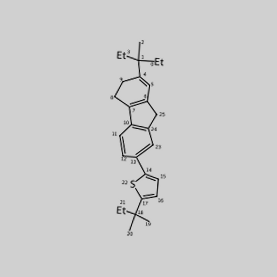 CCC(C)(CC)C1=CC2=C(CC1)c1ccc(-c3ccc(C(C)(C)CC)s3)cc1C2